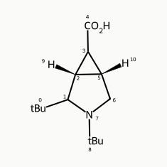 CC(C)(C)C1[C@@H]2C(C(=O)O)[C@@H]2CN1C(C)(C)C